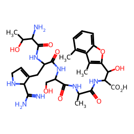 Cc1cccc2oc(C(O)C(NC(=O)C(C)NC(=O)C(CO)NC(=O)C(CC3=CCNC3C(=N)N)NC(=O)C(N)C(C)O)C(=O)O)c(C)c12